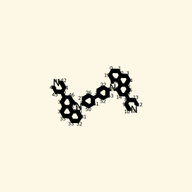 c1cc2ccc3cc(-c4ccncc4)cc4c3c2c(c1)n4-c1ccc(-c2ccc(-n3c4cccc5ccc6cc(-c7ccncc7)cc3c6c54)cc2)cc1